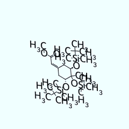 COC(=O)C=C1C[C@@H](O[Si](C)(C)C(C)(C)C)C(C)(O[Si](C)(C)C)[C@H](O[Si](C)(C)C(C)(C)C)C1